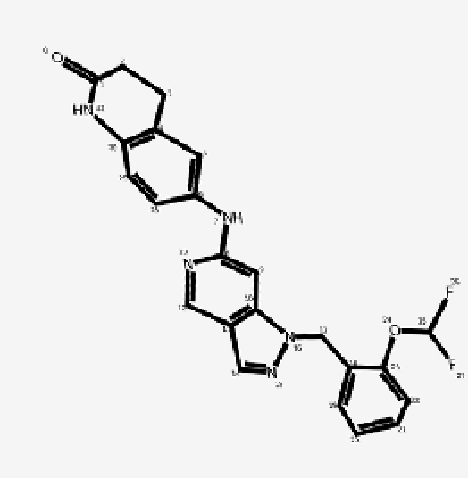 O=C1CCc2cc(Nc3cc4c(cn3)cnn4Cc3ccccc3OC(F)F)ccc2N1